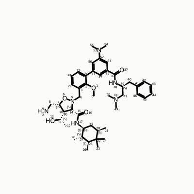 COc1c(CN2O[C@@H](CN)[C@@H]([C@H](C)O)[C@H]2C(=O)N[C@H]2C[C@@H](C)C(C)(C)[C@@H](C)[C@@H]2C)cccc1-c1cc(C(=O)N[C@@H](Cc2ccccc2)CN(C)C)cc(N(C)C)c1